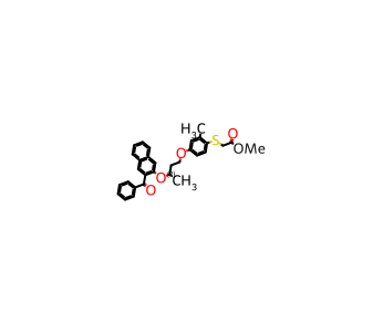 COC(=O)CSc1ccc(OCC[C@@H](C)Oc2cc3ccccc3cc2C(=O)c2ccccc2)cc1C